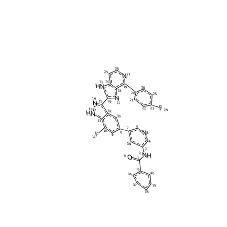 O=C(Nc1cncc(-c2cc(F)c3[nH]nc(-c4nc5c(-c6ccc(F)cc6)nccc5[nH]4)c3c2)c1)c1ccccc1